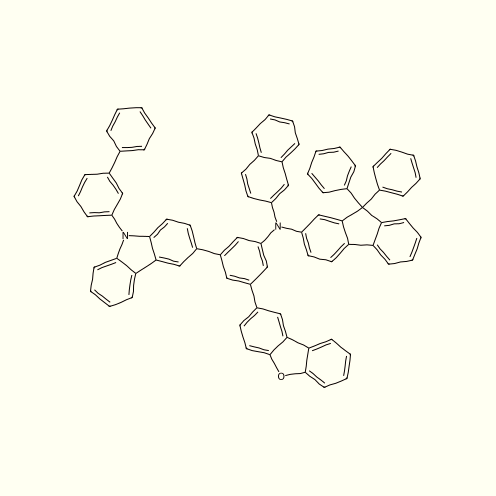 c1ccc(-c2cccc(-n3c4ccccc4c4cc(-c5cc(-c6ccc7oc8ccccc8c7c6)cc(N(c6ccc7c(c6)C(c6ccccc6)(c6ccccc6)c6ccccc6-7)c6ccc7ccccc7c6)c5)ccc43)c2)cc1